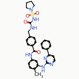 Cc1ccc(NC(=O)c2ccc(CNC(=O)NS(=O)(=O)N3CCCC3)cc2)cc1Nc1nccc(-c2ccccc2)n1